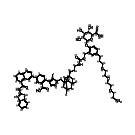 Cc1c(-c2ccc(-c3cnc4cccc(C(=O)Nc5nc6ccccc6s5)c4c3)nc2C(=O)O)cnn1CC12CC3(C)CC(C)(C1)CC(OCCNC(=O)OCc1cc(CCCOCCOCCOCCN)ccc1OC1O[C@H](C(=O)O)[C@@H](O)[C@H](O)[C@H]1O)(C3)C2